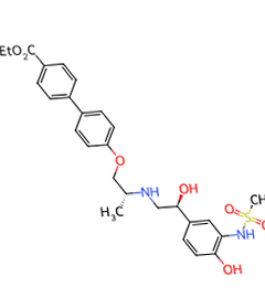 CCOC(=O)c1ccc(-c2ccc(OC[C@@H](C)NC[C@@H](O)c3ccc(O)c(NS(C)(=O)=O)c3)cc2)cc1